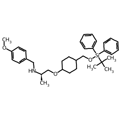 COc1ccc(CN[C@H](C)COC2CCC(CO[Si](c3ccccc3)(c3ccccc3)C(C)(C)C)CC2)cc1